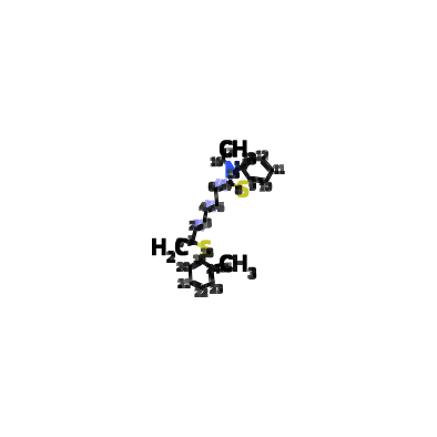 C=C(/C=C/C=C/C=C1\Sc2ccccc2N1CC)Sc1ccccc1C